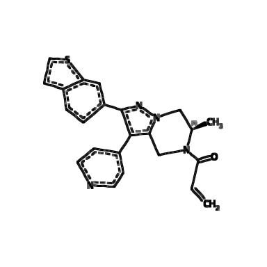 C=CC(=O)N1Cc2c(-c3ccncc3)c(-c3ccc4ccsc4c3)nn2C[C@H]1C